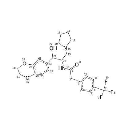 O=C(Cc1ccc(C(F)(F)F)cc1)NC(CN1CCCC1)C(O)c1ccc2c(c1)OCCO2